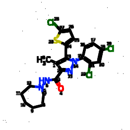 Cc1c(C(=O)NN2CCCCCC2)nn(-c2ccc(Cl)cc2Cl)c1-c1ccc(Cl)s1